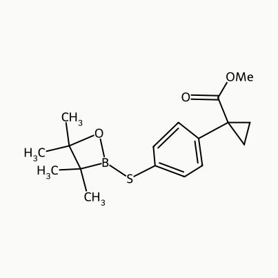 COC(=O)C1(c2ccc(SB3OC(C)(C)C3(C)C)cc2)CC1